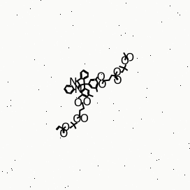 C=CC(=O)OCC(C)(C)COC(=O)CCC(=O)Oc1c(C)cc(C2(c3cc(C)c(OC(=O)CCC(=O)OCC(C)(C)COC(C)=O)c(C)c3)c3ccccc3-c3nc4ccccc4nc32)cc1C